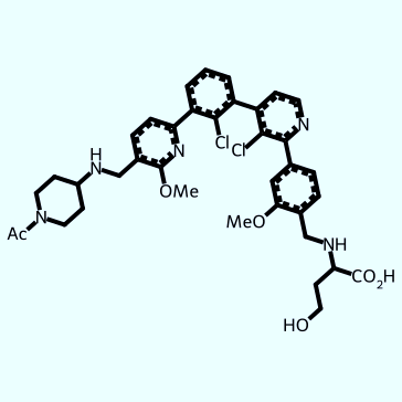 COc1cc(-c2nccc(-c3cccc(-c4ccc(CNC5CCN(C(C)=O)CC5)c(OC)n4)c3Cl)c2Cl)ccc1CNC(CCO)C(=O)O